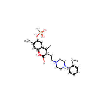 CCS(=O)(=O)Oc1cc2c(C)c(CCN3CCN(c4ccccc4OC)CC3)c(=O)oc2cc1OC